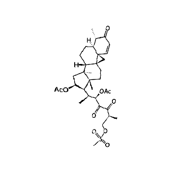 CC(=O)O[C@H]1C[C@@]2(C)[C@@H]3CC[C@H]4[C@H](C)C(=O)C=C[C@@]45C[C@@]35CC[C@]2(C)[C@H]1[C@H](C)[C@@H](OC(C)=O)C(=O)C(=O)[C@@H](C)COS(C)(=O)=O